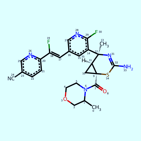 CC1COCCN1C(=O)[C@]12C[C@H]1[C@@](C)(c1cc(/C=C(\F)c3ccc(C#N)cn3)cnc1F)N=C(N)S2